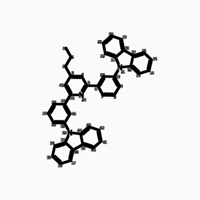 CCCc1cc(-c2cccc(-n3c4ccccc4c4ccccc43)c2)nc(-c2cccc(-n3c4ccccc4c4ccccc43)c2)c1